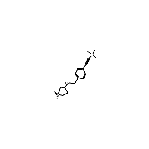 C[Si](C)(C)C#Cc1ccc(CNC2CCS(=O)(=O)C2)cc1